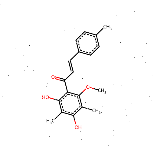 COc1c(C)c(O)c(C)c(O)c1C(=O)C=Cc1ccc(C)cc1